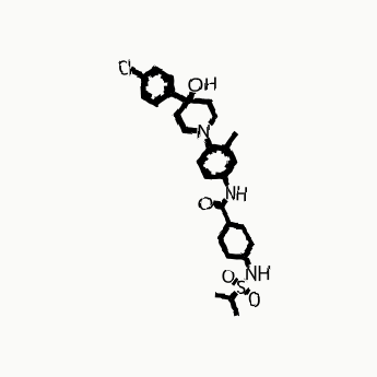 Cc1cc(NC(=O)C2CCC(NS(=O)(=O)C(C)C)CC2)ccc1N1CCC(O)(c2ccc(Cl)cc2)CC1